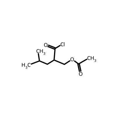 CC(=O)OCC(CC(C)C)C(=O)Cl